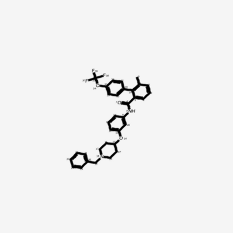 Cc1cccc(C(=O)Nc2cccc(OC3CCN(Cc4ccccc4)CC3)c2)c1-c1ccc(OC(F)(F)F)cc1